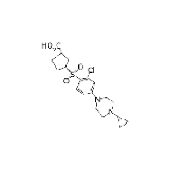 O=C(O)[C@H]1CC[C@H](S(=O)(=O)c2ccc(N3CCN(C4CC4)CC3)cc2Cl)C1